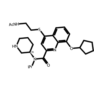 CC(=O)NCCSc1cc(C(=O)N(C(C)C)[C@@H]2CCCNC2)nc2c(OC3CCCC3)cccc12